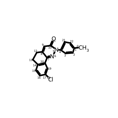 Cc1ccc(-n2nc3c(cc2=O)CCc2ccc(Cl)cc2-3)cc1